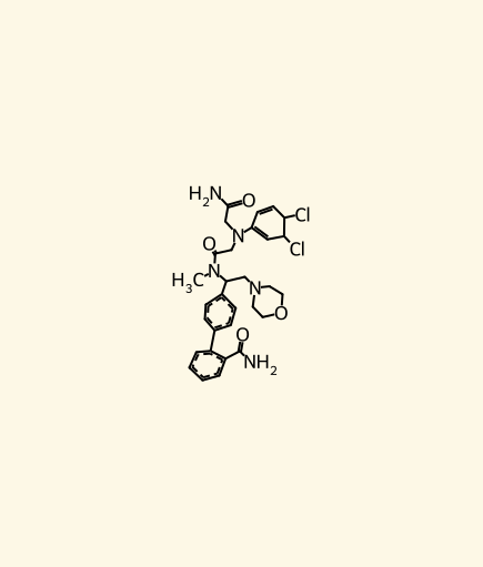 CN(C(=O)CN(CC(N)=O)C1=CC(Cl)C(Cl)C=C1)C(CN1CCOCC1)c1ccc(-c2ccccc2C(N)=O)cc1